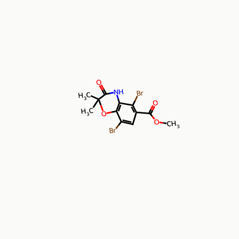 COC(=O)c1cc(Br)c2c(c1Br)NC(=O)C(C)(C)O2